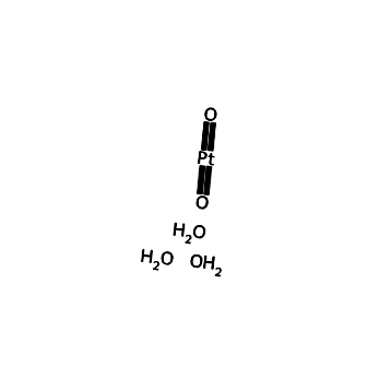 O.O.O.[O]=[Pt]=[O]